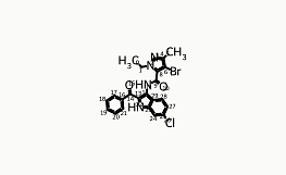 CCn1nc(C)c(Br)c1C(=O)Nc1c(C(=O)c2ccccc2)[nH]c2cc(Cl)ccc12